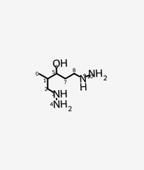 CC(CNN)C(O)CCNN